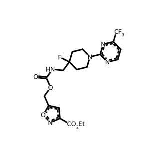 CCOC(=O)c1cc(COC(=O)NCC2(F)CCN(c3nccc(C(F)(F)F)n3)CC2)on1